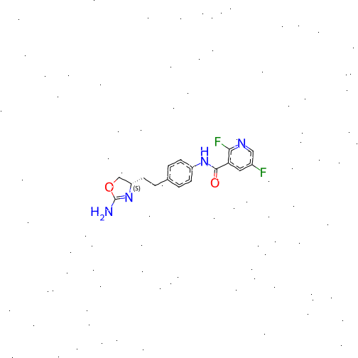 NC1=N[C@@H](CCc2ccc(NC(=O)c3cc(F)cnc3F)cc2)CO1